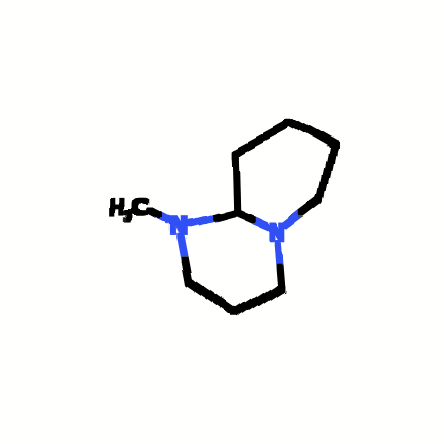 CN1CCCN2CCCCC12